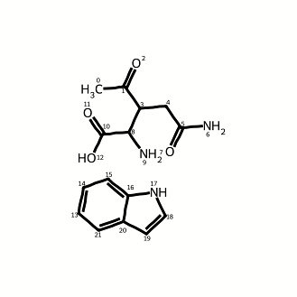 CC(=O)C(CC(N)=O)C(N)C(=O)O.c1ccc2[nH]ccc2c1